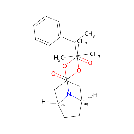 CC(C(=O)OC1C[C@H]2CC[C@@H](C1)N2C(=O)OC(C)(C)C)c1ccccc1